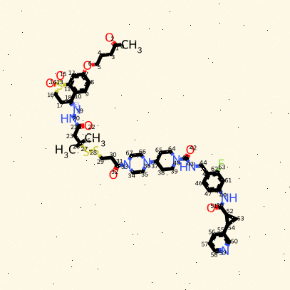 CC(=O)CCCOc1ccc2c(c1)S(=O)(=O)CC/C2=N\NC(=O)CC(C)(C)SSCCC(=O)N1CCN(C2CCN(C(=O)NCc3ccc(NC(=O)C4CC4c4cccnc4)cc3F)CC2)CC1